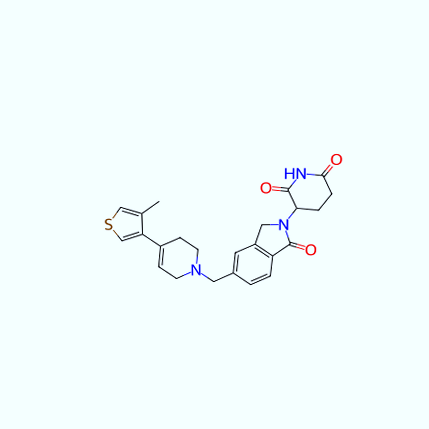 Cc1cscc1C1=CCN(Cc2ccc3c(c2)CN(C2CCC(=O)NC2=O)C3=O)CC1